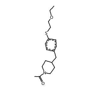 CCOCCSc1ccc(CC2CCN(C(C)=O)CC2)cc1